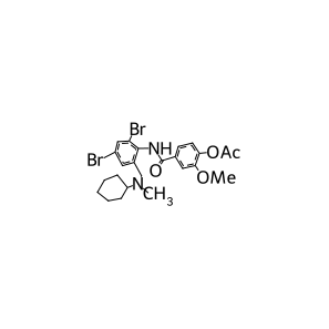 COc1cc(C(=O)Nc2c(Br)cc(Br)cc2CN(C)C2CCCCC2)ccc1OC(C)=O